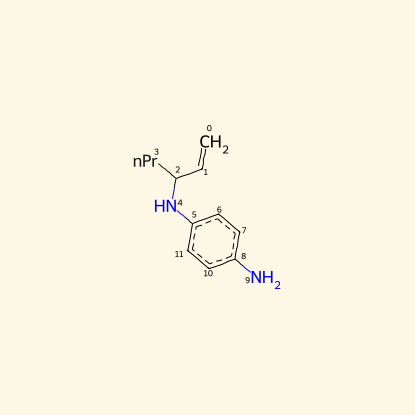 C=CC(CCC)Nc1ccc(N)cc1